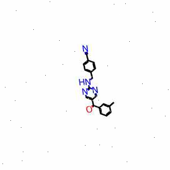 Cc1cccc(C(=O)c2cnc(NCc3ccc(C#N)cc3)nc2)c1